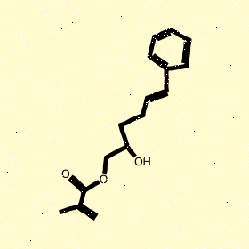 C=C(C)C(=O)OCC(O)CCC=Cc1ccccc1